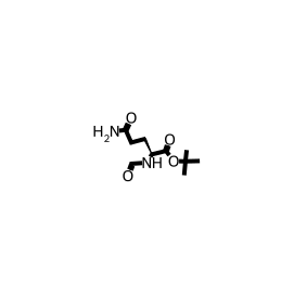 CC(C)(C)OC(=O)[C@H](CCC(N)=O)NC=O